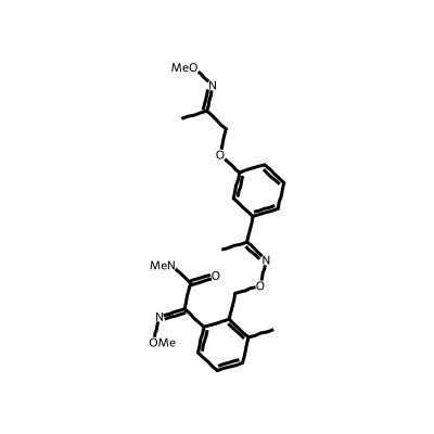 CNC(=O)/C(=N/OC)c1cccc(C)c1CO/N=C(\C)c1cccc(OC/C(C)=N/OC)c1